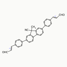 CC1(C#N)c2cc(-c3ccc(/C=C/C=O)cc3)ccc2-c2ccc(-c3ccc(/C=C/C=O)cc3)cc21